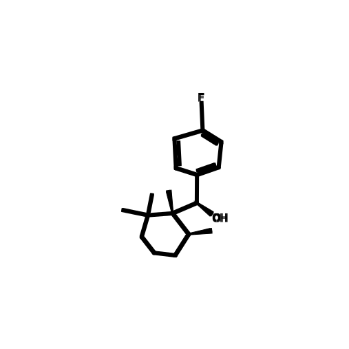 C[C@H]1CCCC(C)(C)[C@]1(C)[C@H](O)c1ccc(F)cc1